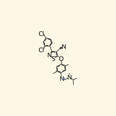 Cc1cc(Oc2snc(-c3ccc(Cl)cc3Cl)c2C#N)c(C)cc1/N=C\N(C)C(C)C